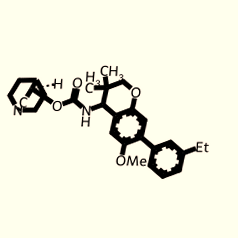 CCc1cccc(-c2cc3c(cc2OC)C(NC(=O)O[C@H]2CN4CCC2CC4)C(C)(C)CO3)c1